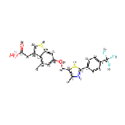 Cc1nc(-c2ccc(C(F)(F)F)cc2)sc1COc1cc(C)c2c(CC(=O)O)csc2c1